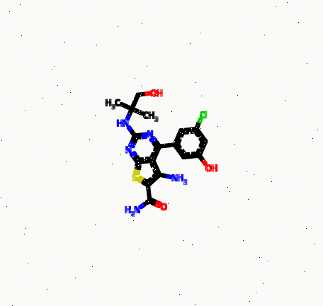 CC(C)(CO)Nc1nc(-c2cc(O)cc(Cl)c2)c2c(N)c(C(N)=O)sc2n1